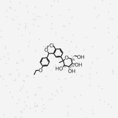 CCOc1ccc(C(OC)c2cc(C3(C)O[C@H](CO)[C@@H](O)[C@H](O)[C@H]3O)ccc2Cl)cc1